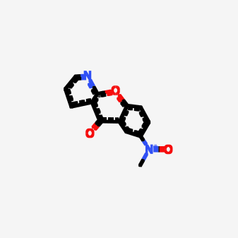 C[N+](=O)c1ccc2oc3ncccc3c(=O)c2c1